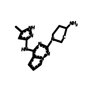 Cc1cc(Nc2nc(N3CCC(N)CC3)nn3cccc23)n[nH]1